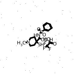 CN1CCC(S)(C(NS(=O)(=O)c2ccccc2)C(=O)O)CC1.O=C(O)C(F)(F)F